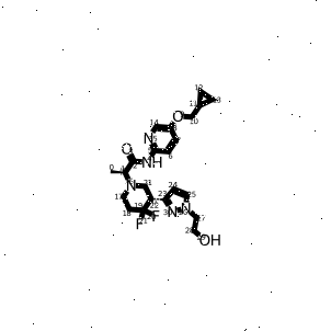 C[C@@H](C(=O)Nc1ccc(OCC2CC2)cn1)N1CCC(F)(F)[C@@H](c2ccn(CCO)n2)C1